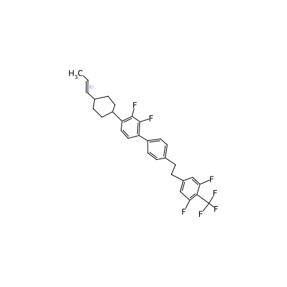 C/C=C/C1CCC(c2ccc(-c3ccc(CCc4cc(F)c(C(F)(F)F)c(F)c4)cc3)c(F)c2F)CC1